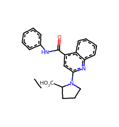 CC.O=C(Nc1ccccc1)c1cc(N2CCCC2C(=O)O)nc2ccccc12